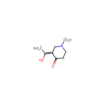 CCOC(=O)/C(O)=C1\CN(C(=O)O)CCC1=O